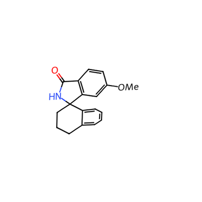 COc1ccc2c(c1)C1(CCCc3ccccc31)NC2=O